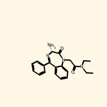 CCN(CC)C(=O)CN1C(=O)[C@@H](N)N=C(c2ccccc2)c2ccccc21